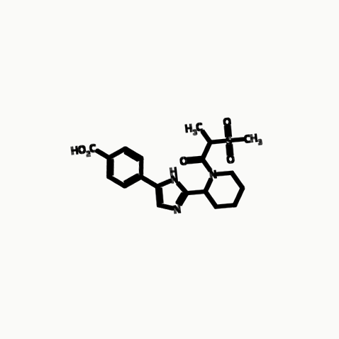 CC(C(=O)N1CCCCC1c1ncc(-c2ccc(C(=O)O)cc2)[nH]1)S(C)(=O)=O